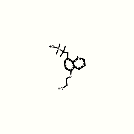 CC(C)(Cc1ccc(SCCO)c2cccnc12)[Si](C)(C)O